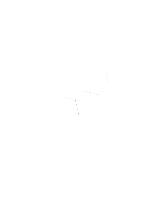 C=C/C(C)=C\C=P/C